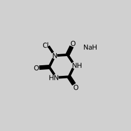 O=c1[nH]c(=O)n(Cl)c(=O)[nH]1.[NaH]